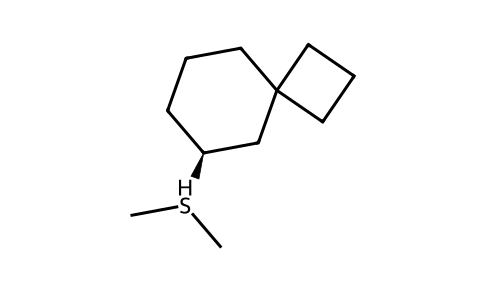 C[SH](C)[C@H]1CCCC2(CCC2)C1